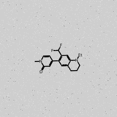 CCN1CCCc2cc(-c3ccn(C)c(=O)c3)c(C(F)F)cc21